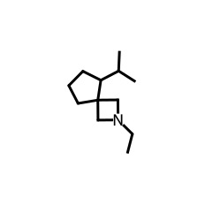 CCN1CC2(CCCC2C(C)C)C1